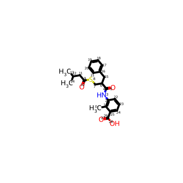 Cc1c(NC(=O)C(CSC(=O)CC(C)C)Cc2ccccc2)cccc1C(=O)O